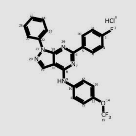 Cl.Fc1ccc(-c2nc(Nc3ccc(OC(F)(F)F)cc3)c3cnn(-c4ccccc4)c3n2)cc1